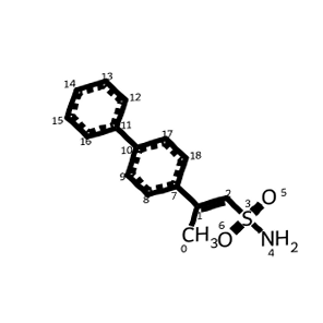 CC(=CS(N)(=O)=O)c1ccc(-c2ccccc2)cc1